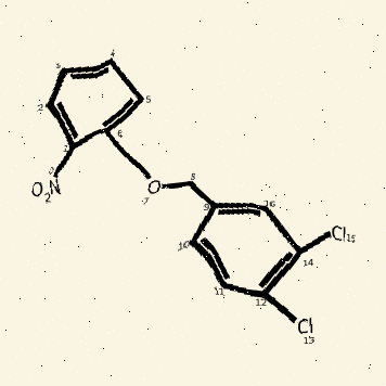 O=[N+]([O-])c1ccccc1OCc1ccc(Cl)c(Cl)c1